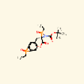 CCP1(=O)c2ccc(C[C@@]3(C(=O)O)N(C(=O)OC(C)(C)C)P3(=O)CC)cc21